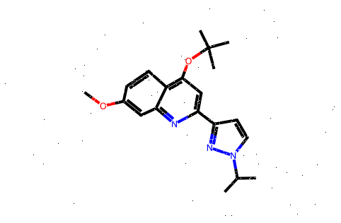 COc1ccc2c(OC(C)(C)C)cc(-c3ccn(C(C)C)n3)nc2c1